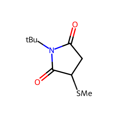 CSC1CC(=O)N(C(C)(C)C)C1=O